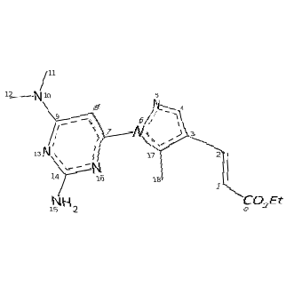 CCOC(=O)C=Cc1cnn(-c2cc(N(C)C)nc(N)n2)c1C